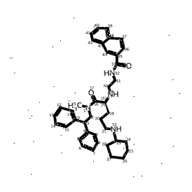 CN(CC(c1ccccc1)c1ccccc1)C(=O)[C@H](CCCNC1CCCCC1)NCCNC(=O)c1ccc2ccccc2c1